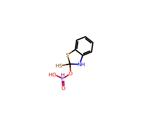 O=[PH](O)OC1(S)Nc2ccccc2S1